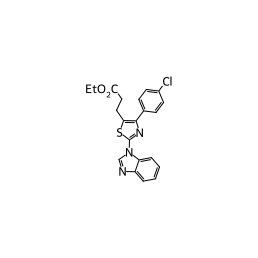 CCOC(=O)CCc1sc(-n2cnc3ccccc32)nc1-c1ccc(Cl)cc1